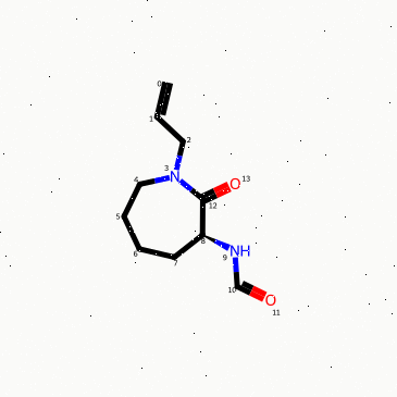 C=CCN1CCCC[C@H](NC=O)C1=O